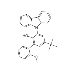 COc1ccccc1-c1cc(C(C)(C)C)cc(-n2c3ccccc3c3ccccc32)c1O